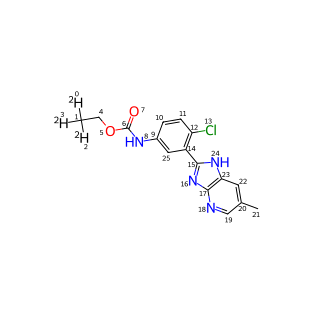 [2H]C([2H])([2H])COC(=O)Nc1ccc(Cl)c(-c2nc3ncc(C)cc3[nH]2)c1